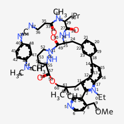 CCn1c(-c2cnccc2COC)c2c3cc(ccc31)-c1cccc(c1)C[C@H](NC(=O)C(C(C)C)N(C)C(=O)CCN=C=Nc1ccc(N(C)C)cc1)C(=O)N1CCC[C@H](N1)C(=O)OCC(C)(C)C2